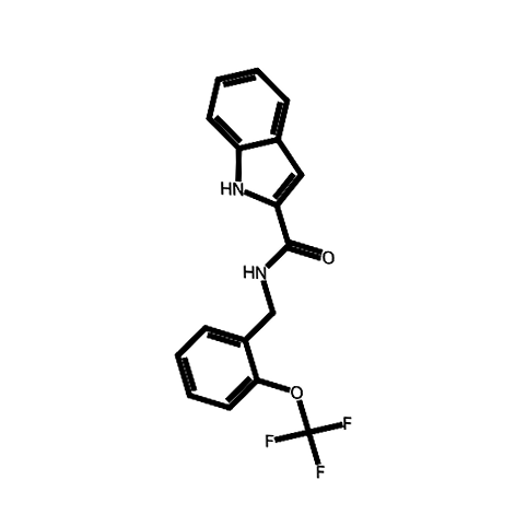 O=C(NCc1ccccc1OC(F)(F)F)c1cc2ccccc2[nH]1